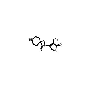 CC1=C(N2CC3(CCNCC3)C2=O)COC1=O